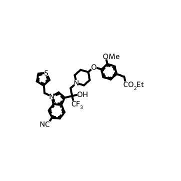 CCOC(=O)Cc1ccc(OC2CCN(CC(O)(c3cn(Cc4ccsc4)c4cc(C#N)ccc34)C(F)(F)F)CC2)c(OC)c1